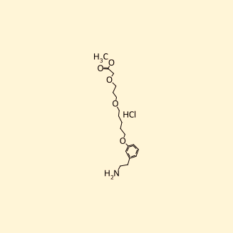 COC(=O)COCCCOCCCCCOc1cccc(CCN)c1.Cl